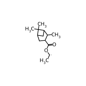 C[CH]OC(=O)C1CC2CC(C1C)C2(C)C